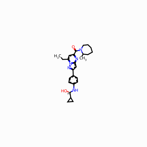 CCc1cc(C(=O)N2CCCCCC2C)nc2cc(-c3ccc(N[C@H](O)C4CC4)cc3)nn12